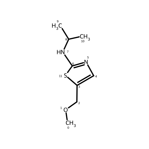 COCc1cnc(NC(C)C)s1